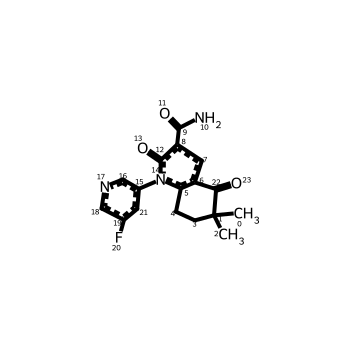 CC1(C)CCc2c(cc(C(N)=O)c(=O)n2-c2cncc(F)c2)C1=O